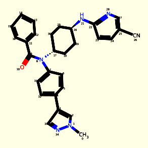 Cn1cc(-c2ccc(N(C(=O)c3ccccc3)[C@H]3CC[C@H](Nc4ccc(C#N)cn4)CC3)cc2)cn1